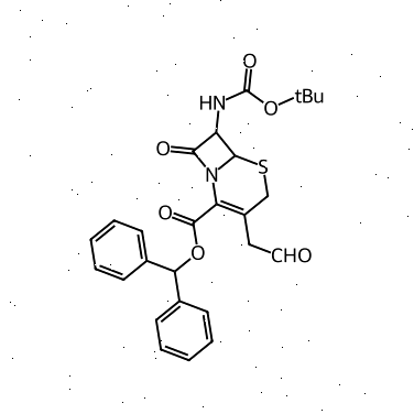 CC(C)(C)OC(=O)NC1C(=O)N2C(C(=O)OC(c3ccccc3)c3ccccc3)=C(CC=O)CSC12